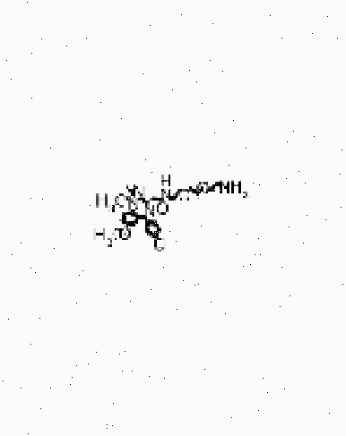 COc1ccc2c(c1)C(c1ccc(Cl)cc1)=N[C@@H](CC(=O)NCCOCCOCCN)c1nnc(C)n1-2